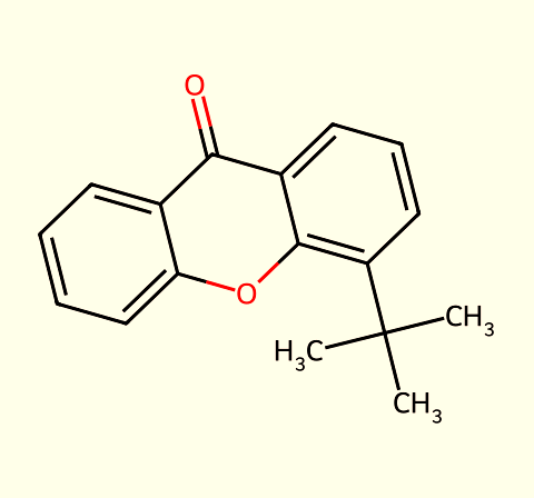 CC(C)(C)c1cccc2c(=O)c3ccccc3oc12